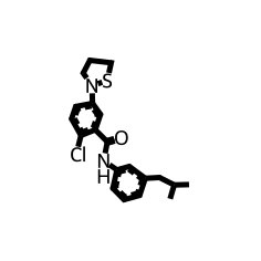 CC(C)Cc1cccc(NC(=O)c2cc(N3CCCS3)ccc2Cl)c1